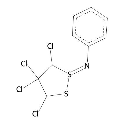 ClC1SS(=Nc2ccccc2)C(Cl)C1(Cl)Cl